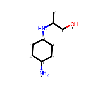 CC(CO)N[C@H]1CC[C@@H](N)CC1